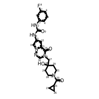 O=C(Nc1cccc(F)c1)Nc1cc2c(=O)n(CC3(O)CCN(C(=O)C4CC4)CC3)cnn2c1